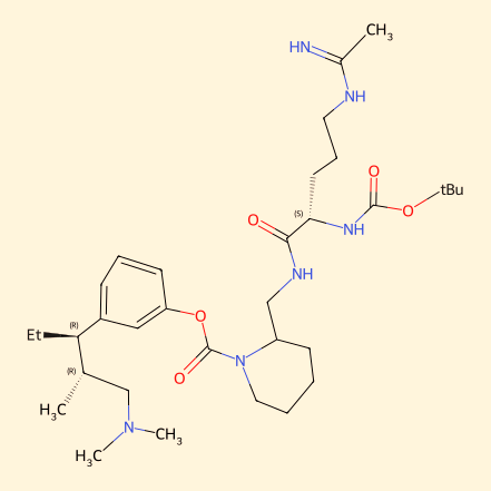 CC[C@@H](c1cccc(OC(=O)N2CCCCC2CNC(=O)[C@H](CCCNC(C)=N)NC(=O)OC(C)(C)C)c1)[C@@H](C)CN(C)C